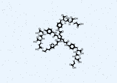 O=C(O)CC[C@H](NC(=O)N[C@@H](Cc1ccc(NC(=O)CCC(CCC(=O)Nc2ccc(C[C@H](NC(=O)N[C@@H](CCC(=O)O)C(=O)O)C(=O)O)cc2)(CCC(=O)Nc2ccc(C[C@H](NC(=O)N[C@@H](CCC(=O)O)C(=O)O)C(=O)O)cc2)NC(=O)Cn2cc(CCCF)nn2)cc1)C(=O)O)C(=O)O